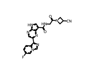 N#CC1CN(C(=O)CNC(=O)c2c[nH]c3ncc(-c4ncn5cc(F)ccc45)nc23)C1